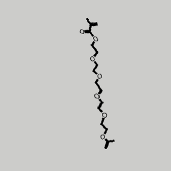 C=C(C)OCCOCCOCCOCCOCCOC(=O)C(=C)C